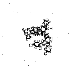 C=CC[N+]1([C@H]2C[C@H]3[C@@H]4CC[C@H]5C[C@H](O)[C@@H](N6CCOCC6)C[C@]5(C)[C@H]4CC[C@]3(C)[C@H]2OC(C)=O)CCCC1.CCC(=O)[O-].Clc1ccc(C(Cn2ccnc2)OCc2ccsc2Cl)c(Cl)c1